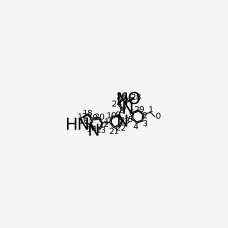 CCc1cccc(-n2c(-c3cc(-c4cnc5[nH]ccc5c4)ccn3)cn(C)c2=O)c1